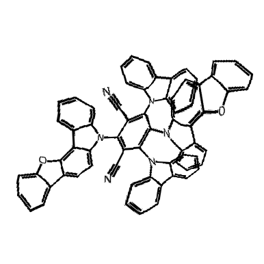 N#Cc1c(-n2c3ccccc3c3ccccc32)c(-n2c3ccccc3c3c4oc5ccccc5c4ccc32)c(-n2c3ccccc3c3ccccc32)c(C#N)c1-n1c2ccccc2c2c3oc4ccccc4c3ccc21